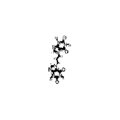 Cn1c(=O)c2c(ncn2CCCn2cnc3c2c(=O)n(C)c(=O)n3C)n(C)c1=O